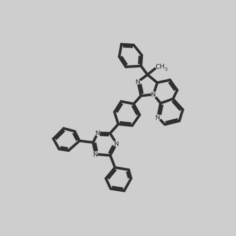 CC1(c2ccccc2)N=C(c2ccc(-c3nc(-c4ccccc4)nc(-c4ccccc4)n3)cc2)N2c3ncccc3C=CC21